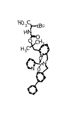 CC(C)(Cc1cccc(CN(Cc2ccc(-c3ccccc3)cc2)S(=O)(=O)c2ccccn2)n1)OC(=O)NC(C(=O)O)C(C)(C)C